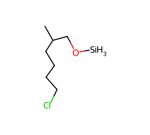 CC(CCCCCl)CO[SiH3]